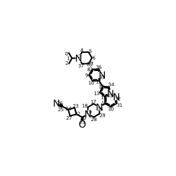 CC(C)N1CCC[C@H](c2ccc(-c3cc4c(N5CCN(C(=O)C6CC(C#N)C6)CC5)ccnn4c3)nc2)C1